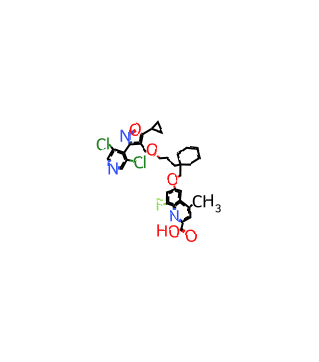 Cc1cc(C(=O)O)nc2c(F)cc(OCC3(CCCOCc4c(-c5c(Cl)cncc5Cl)noc4C4CC4)CCCCC3)cc12